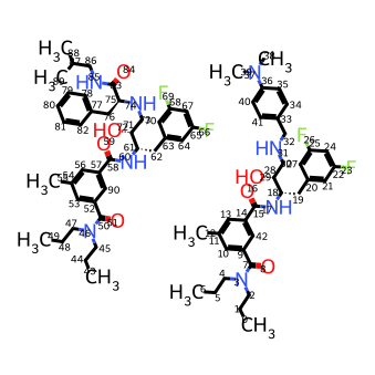 CCCN(CCC)C(=O)c1cc(C)cc(C(=O)N[C@@H](Cc2cc(F)cc(F)c2)[C@H](O)CNCc2ccc(N(C)C)cc2)c1.CCCN(CCC)C(=O)c1cc(C)cc(C(=O)N[C@@H](Cc2cc(F)cc(F)c2)[C@H](O)CN[C@@H](Cc2ccccc2)C(=O)NCC(C)C)c1